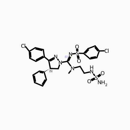 CN(CCNS(N)(=O)=O)/C(=N\S(=O)(=O)c1ccc(Cl)cc1)N1C[C@H](c2ccccc2)C(c2ccc(Cl)cc2)=N1